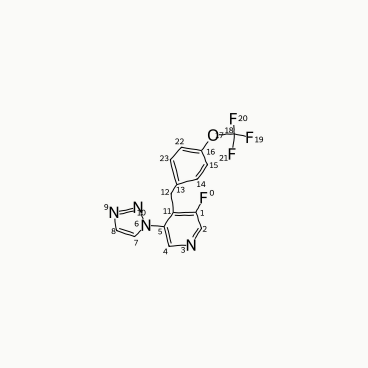 Fc1cncc(-n2ccnn2)c1Cc1ccc(OC(F)(F)F)cc1